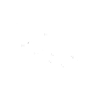 Nc1ncnn2c([C@H](O)C(O)[C@@H](O)C(O)CO)ccc12